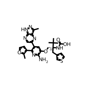 Cc1occc1-c1nc(N)c(OC[C@@](Cc2ccsc2)(NC(=O)O)C(C)(C)C)cc1-c1cnc2[nH]nc(C)c2n1